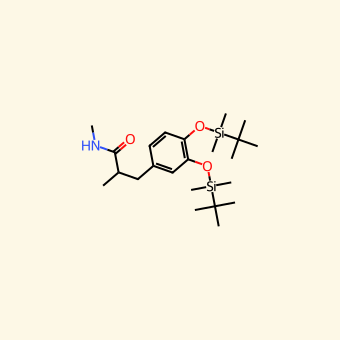 CNC(=O)C(C)Cc1ccc(O[Si](C)(C)C(C)(C)C)c(O[Si](C)(C)C(C)(C)C)c1